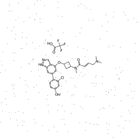 CN(C)C/C=C/C(=O)N(C)C1CC(Oc2cc(-c3ccc(O)cc3Cl)cc3[nH]ncc23)C1.O=C(O)C(F)(F)F